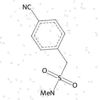 CNS(=O)(=O)Cc1ccc(C#N)cc1